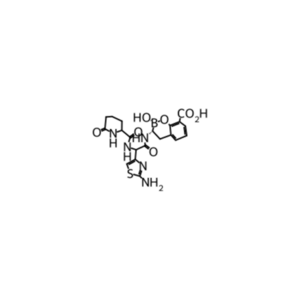 Nc1nc(C(NC(=O)C2CCCC(=O)N2)C(=O)N[C@H]2Cc3cccc(C(=O)O)c3OB2O)cs1